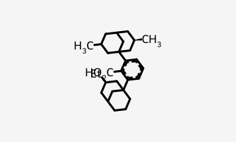 CCC1CC2CCCC(c3cccc(C45CC(C)CC(C[C@@H](C)C4)C5)c3C(=O)O)(C1)C2